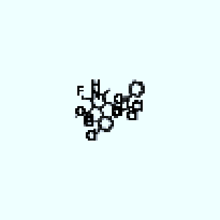 COC(=O)C1=C(CF)NC(C)=C(C(=O)O[C@@H](c2ccccc2)C(Cl)(Cl)Cl)C1c1cccc(Cl)c1Cl